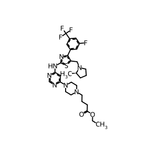 CCOC(=O)CCCN1CCN(c2cc(Nc3nc(-c4cc(F)cc(C(F)(F)F)c4)c(CN4CCC[C@H]4C)s3)ncn2)CC1